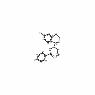 O=C(OC(CO)C1CCCc2cc(Cl)ccc21)c1ccccc1